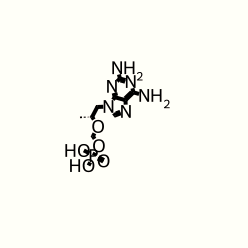 C[C@H](Cn1cnc2c(N)nc(N)nc21)OCOP(=O)(O)O